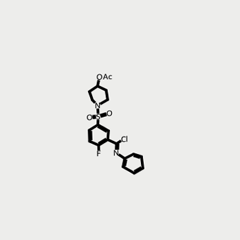 CC(=O)OC1CCN(S(=O)(=O)c2ccc(F)c(/C(Cl)=N/c3ccccc3)c2)CC1